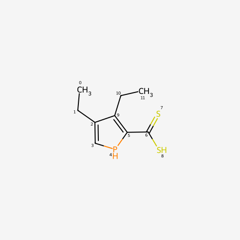 CCc1c[pH]c(C(=S)S)c1CC